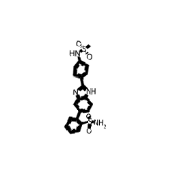 CS(=O)(=O)Nc1ccc(-c2nc3cc(-c4ccccc4S(N)(=O)=O)ccc3[nH]2)cc1